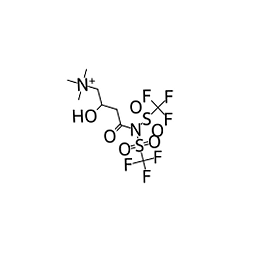 C[N+](C)(C)CC(O)CC(=O)N(S(=O)(=O)C(F)(F)F)S(=O)(=O)C(F)(F)F